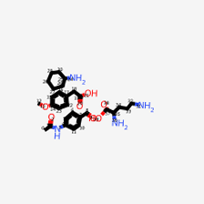 CC(=O)Nc1ccc(C=O)cc1.COc1ccc(CC(=O)O)cc1.NC1CCCCC1.NCCCC(N)C(=O)O